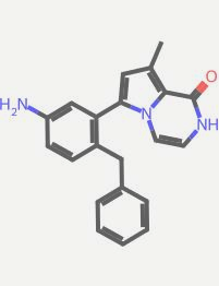 Cc1cc(-c2cc(N)ccc2Cc2ccccc2)n2cc[nH]c(=O)c12